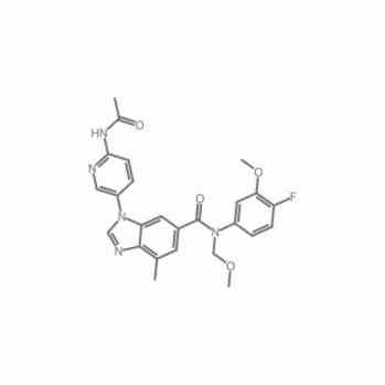 COCN(C(=O)c1cc(C)c2ncn(-c3ccc(NC(C)=O)nc3)c2c1)c1ccc(F)c(OC)c1